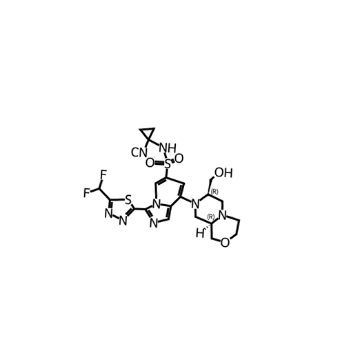 N#CC1(NS(=O)(=O)c2cc(N3C[C@@H]4COCCN4C[C@@H]3CO)c3cnc(-c4nnc(C(F)F)s4)n3c2)CC1